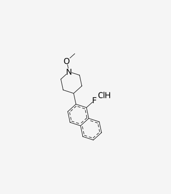 CON1CCC(c2ccc3ccccc3c2F)CC1.Cl